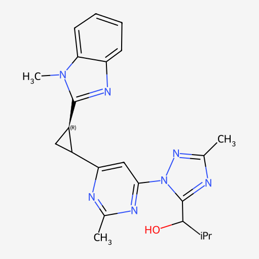 Cc1nc(C2C[C@H]2c2nc3ccccc3n2C)cc(-n2nc(C)nc2C(O)C(C)C)n1